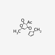 C=C1C=CC=C1.CC(=O)C1C(=O)C=C(C)OC1=O